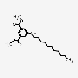 CCCCCCCCCCCNc1cc(C(=O)OC)cc(C(=O)OC)c1